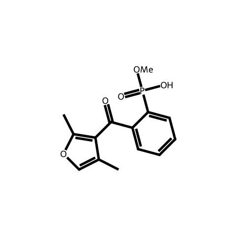 COP(=O)(O)c1ccccc1C(=O)c1c(C)coc1C